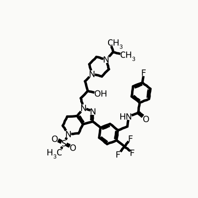 CC(C)N1CCN(CC(O)Cn2nc(-c3ccc(C(F)(F)F)c(CNC(=O)c4ccc(F)cc4)c3)c3c2CCN(S(C)(=O)=O)C3)CC1